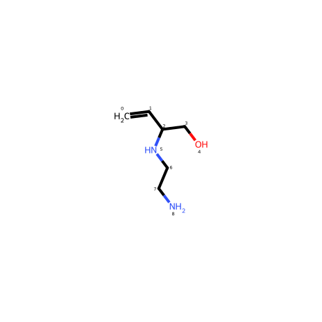 C=CC(CO)NCCN